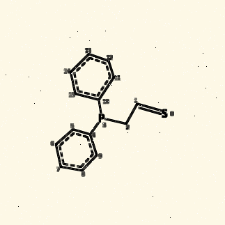 S=CCP(c1ccccc1)c1ccccc1